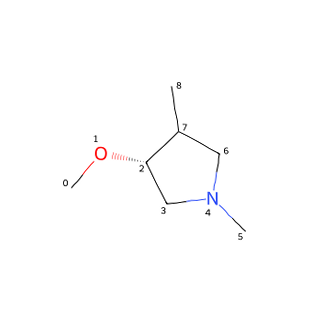 CO[C@H]1CN(C)CC1C